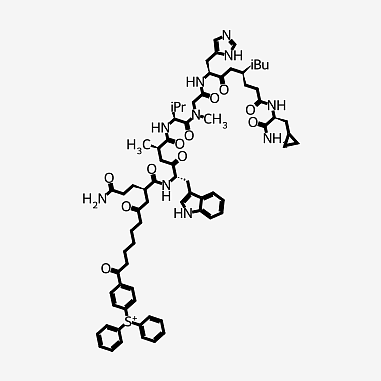 CC[C@H](C)[C@@H](CCC(=O)N[C@@H](CC1CC1)C(N)=O)CC(=O)[C@H](Cc1cnc[nH]1)NC(=O)CN(C)C(=O)[C@@H](NC(=O)[C@H](C)CC(=O)[C@H](Cc1c[nH]c2ccccc12)NC(=O)[C@H](CCC(N)=O)CC(=O)CCCCCC(=O)c1ccc([S+](c2ccccc2)c2ccccc2)cc1)C(C)C